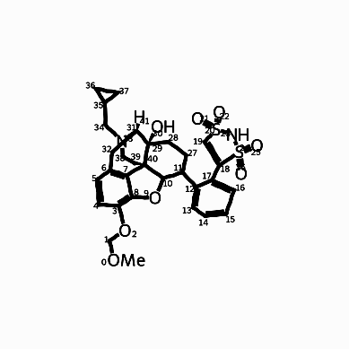 COCOc1ccc2c3c1OC1C(c4ccccc4C4=CS(=O)(=O)NS4(=O)=O)CC[C@@]4(O)[C@@H](C2)N(CC2CC2)CC[C@]314